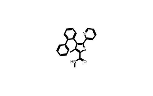 CNC(=O)c1sc(-c2ccccn2)c(-c2ccccc2-c2ccccc2)c1C